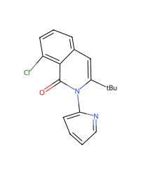 CC(C)(C)c1cc2cccc(Cl)c2c(=O)n1-c1ccccn1